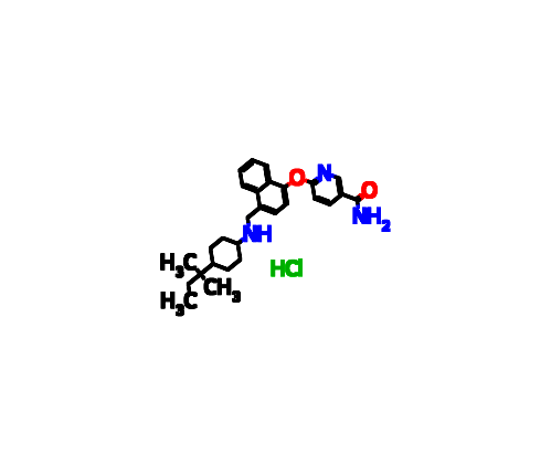 CCC(C)(C)C1CCC(NCc2ccc(Oc3ccc(C(N)=O)cn3)c3ccccc23)CC1.Cl